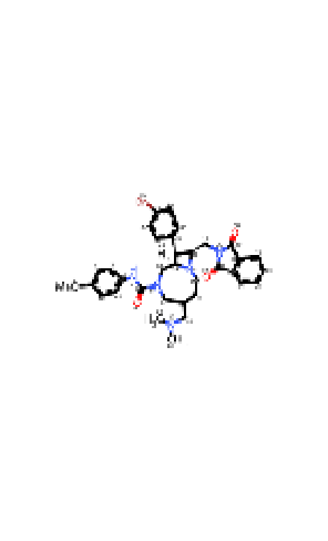 COc1ccc(NC(=O)N2CC(CN(C)C)CCN3[C@H](CN4C(=O)c5ccccc5C4=O)[C@H](c4ccc(Br)cc4)[C@@H]3C2)cc1